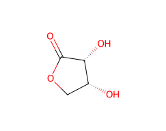 O=C1OC[C@@H](O)[C@H]1O